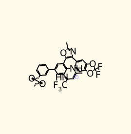 C/C(=C/C(=N)C(F)(F)F)Nc1ccc(-c2cccc(S(C)(=O)=O)c2)cc1-c1oc(C)nc1-c1ccc2c(c1)OC(F)(F)O2